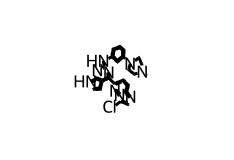 CN1CCN(c2cccc(Nc3nc(-c4ccc5ncc(Cl)n5n4)c4cc[nH]c4n3)c2)CC1